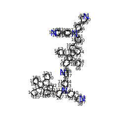 c1ccc(-c2c3c(c(-c4ccccc4)c4ccccc24)-c2ccc(-c4cccc(N(c5ccc(-c6cccnc6)cc5)c5ccc(-c6ccc(-c7ccc8c(-c9ccccc9)c9c(c(-c%10ccccc%10)c8c7)-c7cccc8c(-c%10cccc(N(c%11ccc(-c%12ccncc%12)cc%11)c%11ccc(-c%12ccncc%12)cc%11)c%10)ccc-9c78)nc6)cc5)c4)c4cccc-3c24)cc1